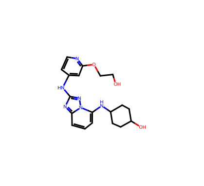 OCCOc1cc(Nc2nc3cccc(NC4CCC(O)CC4)n3n2)ccn1